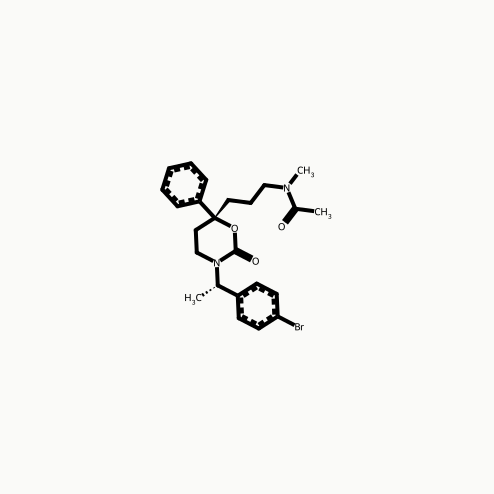 CC(=O)N(C)CCC[C@]1(c2ccccc2)CCN([C@@H](C)c2ccc(Br)cc2)C(=O)O1